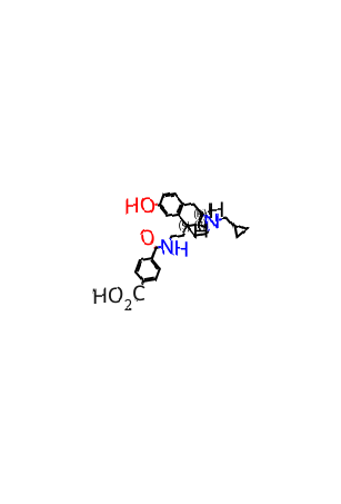 C[C@H]1[C@H]2Cc3ccc(O)cc3[C@@]1(CCNC(=O)c1ccc(C(=O)O)cc1)CCN2CC1CC1